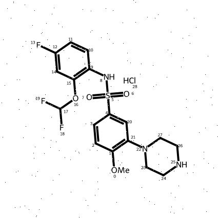 COc1ccc(S(=O)(=O)Nc2ccc(F)cc2OC(F)F)cc1N1CCNCC1.Cl